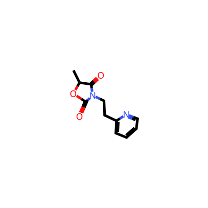 CC1OC(=O)N(CCc2ccccn2)C1=O